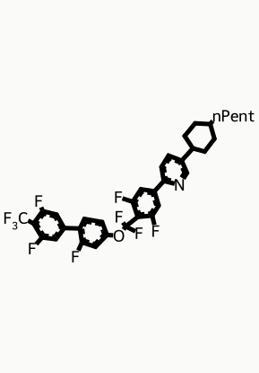 CCCCCC1CCC(c2ccc(-c3cc(F)c(C(F)(F)Oc4ccc(-c5cc(F)c(C(F)(F)F)c(F)c5)c(F)c4)c(F)c3)nc2)CC1